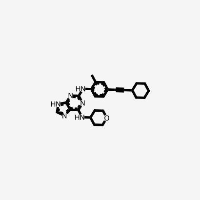 Cc1cc(C#CC2CCCCC2)ccc1Nc1nc(NC2CCOCC2)c2nc[nH]c2n1